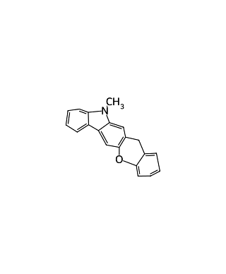 Cn1c2ccccc2c2cc3c(cc21)Cc1ccccc1O3